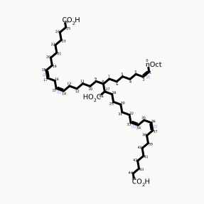 CCCCCCCC/C=C\CCCCCC(CCCCC/C=C\C/C=C\CCCCCCCC(=O)O)C(CCCCC/C=C\C/C=C\CCCCCCCC(=O)O)C(=O)O